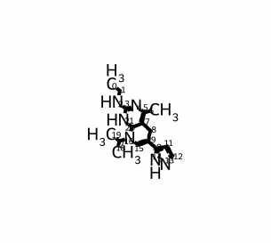 CCNC1=NC(C)=C2CC(c3ccn[nH]3)=CN(C(C)C)C2N1